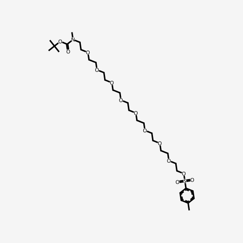 Cc1ccc(S(=O)(=O)OCCOCCOCCOCCOCCOCCOCCOCCOCCN(C)C(=O)OC(C)(C)C)cc1